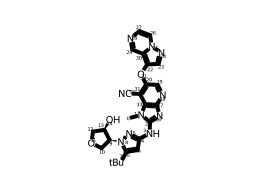 Cn1c(Nc2cc(C(C)(C)C)n([C@@H]3COC[C@H]3O)n2)nc2ncc(Oc3cnn4ccncc34)c(C#N)c21